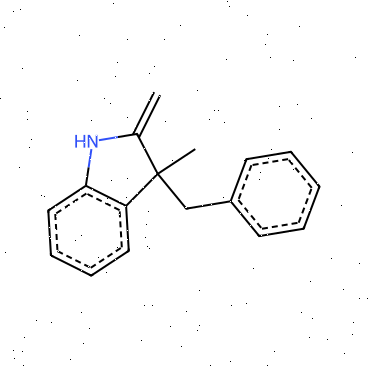 C=C1Nc2ccccc2C1(C)Cc1ccccc1